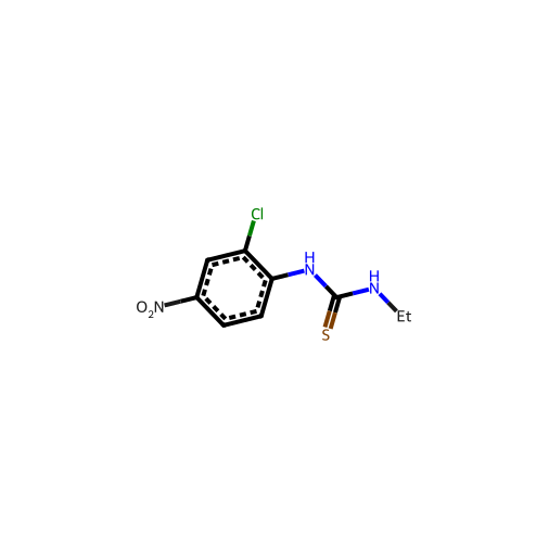 CCNC(=S)Nc1ccc([N+](=O)[O-])cc1Cl